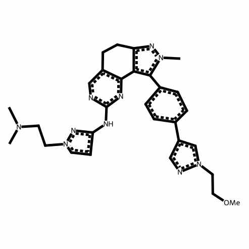 COCCn1cc(-c2ccc(-c3c4c(nn3C)CCc3cnc(Nc5ccn(CCN(C)C)n5)nc3-4)cc2)cn1